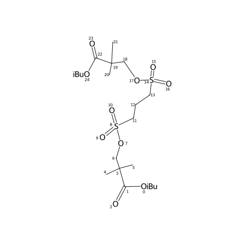 CC(C)COC(=O)C(C)(C)COS(=O)(=O)CCCS(=O)(=O)OCC(C)(C)C(=O)OCC(C)C